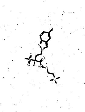 C[C@@](CCn1cc2cc(I)ccc2n1)(C(=O)NOCC[Si](C)(C)C)S(C)(=O)=O